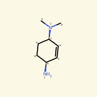 CN(C)[C@H]1C=C[C@@H](N)CC1